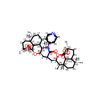 C[C@H]1[C@@H](CC(C[C@H]2O[C@@H]3O[C@]4(C)CC[C@H]5[C@H](C)CC[C@@H]([C@H]2C)[C@@]35OO4)C(=O)Nc2ccncc2F)O[C@@H]2O[C@]3(C)CC[C@H]4[C@H](C)CC[C@@H]1[C@@]24OO3